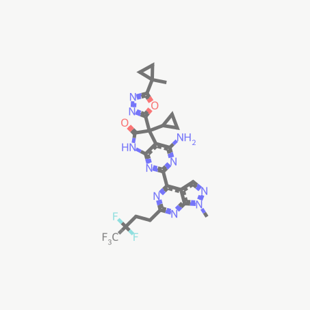 Cn1ncc2c(-c3nc(N)c4c(n3)NC(=O)C4(c3nnc(C4(C)CC4)o3)C3CC3)nc(CCC(F)(F)C(F)(F)F)nc21